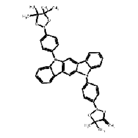 C=C1OB(c2ccc(-n3c4ccccc4c4cc5c(cc43)c3ccccc3n5-c3ccc(B4OC(C)(C)C(C)(C)O4)cc3)cc2)OC1(C)C